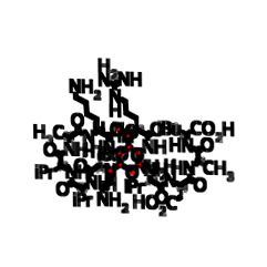 CC[C@H](C)[C@H](NC(=O)[C@H](C)NC(=O)[C@H](CC(=O)O)NC(=O)[C@@H](NC(=O)[C@H](CC(N)=O)NC(=O)[C@H](CCCNC(=N)N)NC(=O)[C@H](CCCCN)NC(=O)[C@H](CCCCN)NC(=O)[C@H](C)NC(=O)[C@@H](NC(=O)[C@@H](NC(=O)[C@@H](NC(=O)CN)[C@@H](C)CC)C(C)C)C(C)C)C(C)C)C(=O)O